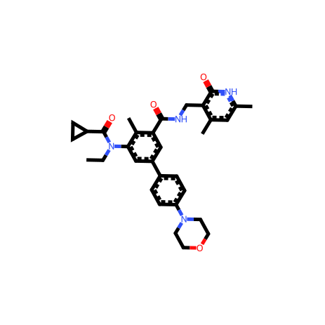 CCN(C(=O)C1CC1)c1cc(-c2ccc(N3CCOCC3)cc2)cc(C(=O)NCc2c(C)cc(C)[nH]c2=O)c1C